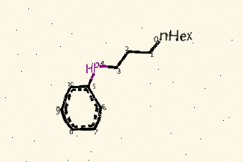 [CH2]CCCCCCCCPc1ccccc1